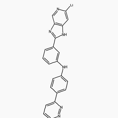 Clc1cc2[nH]c(-c3cccc(Nc4ccc(-c5cccnn5)cc4)c3)nc2cn1